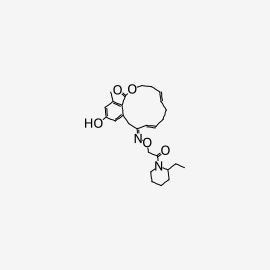 CCC1CCCCN1C(=O)CO/N=C1\C=C\CC/C=C/CCOC(=O)c2c(C)cc(O)cc2C1